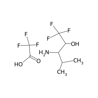 CC(C)C(N)C(O)C(F)(F)F.O=C(O)C(F)(F)F